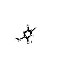 CSc1cc(F)c(C)nc1O